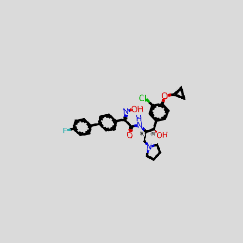 O=C(N[C@H](CN1CCCC1)[C@H](O)c1ccc(OC2CC2)c(Cl)c1)C(=NO)c1ccc(-c2ccc(F)cc2)cc1